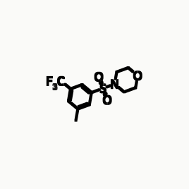 Cc1cc(C(F)(F)F)cc(S(=O)(=O)N2CCOCC2)c1